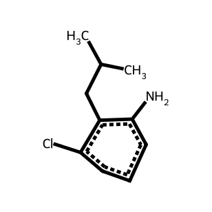 CC(C)Cc1c(N)cccc1Cl